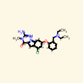 CCN(CC)Cc1ccccc1Oc1cc(Cl)c2cc(C(=O)N(C)C(=N)N)[nH]c2c1